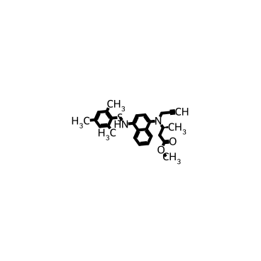 C#CCN(c1ccc(NSc2c(C)cc(C)cc2C)c2ccccc12)[C@@H](C)CC(=O)OC